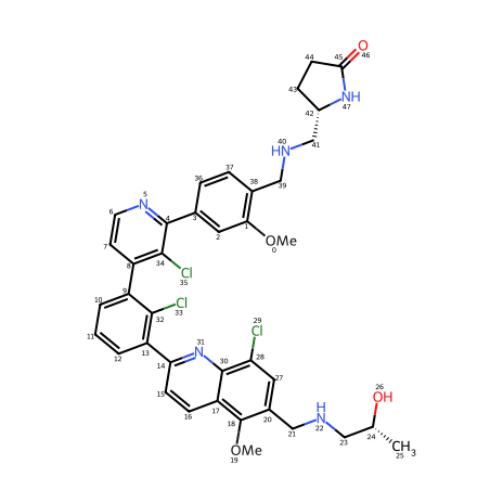 COc1cc(-c2nccc(-c3cccc(-c4ccc5c(OC)c(CNC[C@@H](C)O)cc(Cl)c5n4)c3Cl)c2Cl)ccc1CNC[C@@H]1CCC(=O)N1